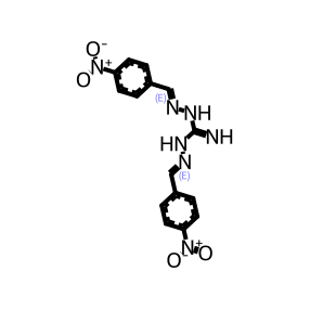 N=C(N/N=C/c1ccc([N+](=O)[O-])cc1)N/N=C/c1ccc([N+](=O)[O-])cc1